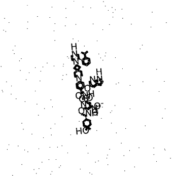 CC(C)c1ccccc1[C@@H]1CNCCN1C1CC2(CCN(c3ccc(C(=O)NS(=O)(=O)c4cc([N+](=O)[O-])c5c(n4)OC[C@H](C4CCC(C)(O)CC4)N5)c(Oc4cnc5[nH]ccc5c4)c3)CC2)C1